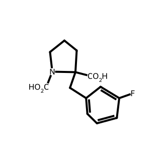 O=C(O)N1CCCC1(Cc1cccc(F)c1)C(=O)O